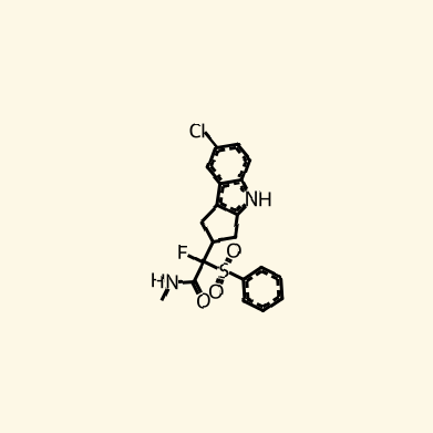 CNC(=O)C(F)(C1Cc2[nH]c3ccc(Cl)cc3c2C1)S(=O)(=O)c1ccccc1